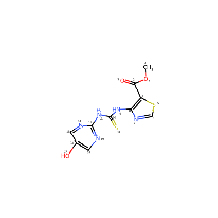 COC(=O)c1scnc1NC(=S)Nc1ncc(O)cn1